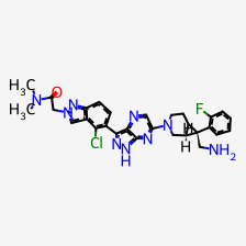 CN(C)C(=O)Cn1cc2c(Cl)c(-c3n[nH]c4nc(N5CC[C@@H]6[C@H](C5)[C@@]6(CN)c5ccccc5F)cnc34)ccc2n1